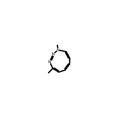 Cc1cccccn(C)nn1